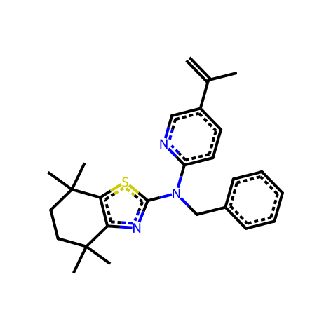 C=C(C)c1ccc(N(Cc2ccccc2)c2nc3c(s2)C(C)(C)CCC3(C)C)nc1